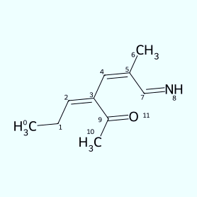 CC/C=C(/C=C(/C)C=N)C(C)=O